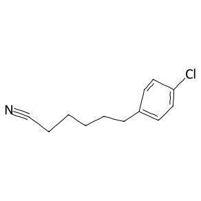 N#CCCCCCc1ccc(Cl)cc1